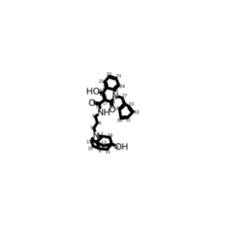 O=C(NCCCN1C2CC3CC1CC(O)(C3)C2)c1c(O)c2ccccc2n(Cc2ccccc2)c1=O